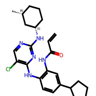 C=CC(=O)Nc1cc(C2CCCC2)ccc1Nc1nc(N[C@H]2CCC[C@@H](C)C2)ncc1Cl